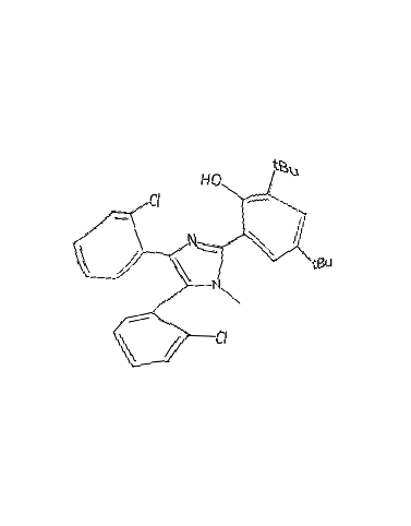 Cn1c(-c2cc(C(C)(C)C)cc(C(C)(C)C)c2O)nc(-c2ccccc2Cl)c1-c1ccccc1Cl